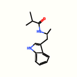 CC(Cc1c[nH]c2ccccc12)NC(=O)C(C)C